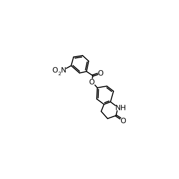 O=C1CCc2cc(OC(=O)c3cccc([N+](=O)[O-])c3)ccc2N1